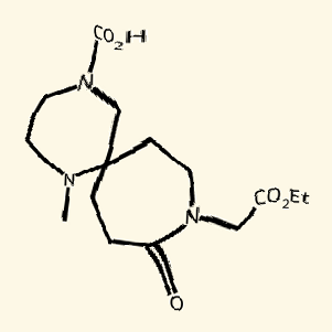 CCOC(=O)CN1CCC2(CCC1=O)CN(C(=O)O)CCN2C